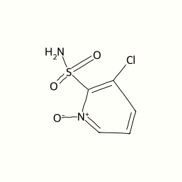 NS(=O)(=O)c1c(Cl)ccc[n+]1[O-]